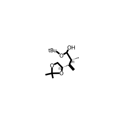 C=C([C@@H](C)C(O)OC(C)(C)C)[C@H]1COC(C)(C)O1